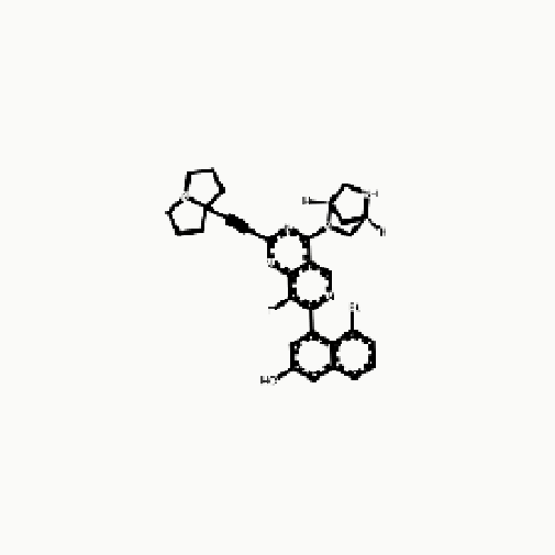 CCc1cccc2cc(O)cc(-c3ncc4c(N5C[C@@H]6C[C@H]5CN6)nc(C#CC56CCCN5CCC6)nc4c3F)c12